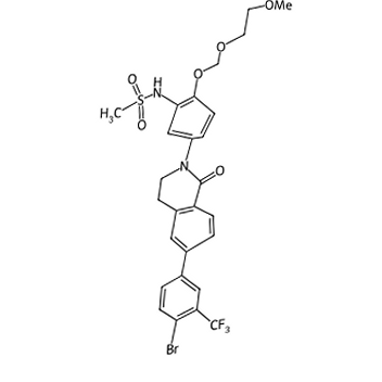 COCCOCOc1ccc(N2CCc3cc(-c4ccc(Br)c(C(F)(F)F)c4)ccc3C2=O)cc1NS(C)(=O)=O